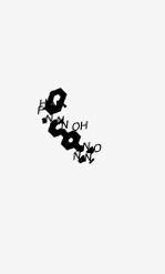 CN(c1ccc(-c2ccc(-c3ncn(C)c(=O)n3)cc2O)nn1)[C@@H]1C[C@@]2(C)CCC[C@@H]([C@@H]1F)N2C